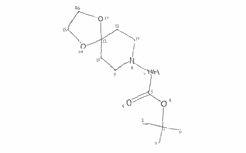 CC(C)(C)OC(=O)NN1CCC2(CC1)OCCO2